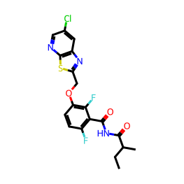 CCC(C)C(=O)NC(=O)c1c(F)ccc(OCc2nc3cc(Cl)cnc3s2)c1F